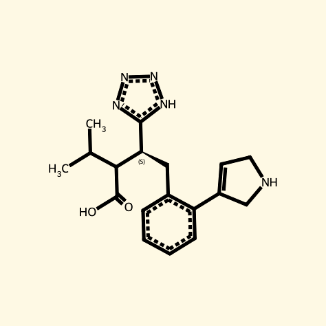 CC(C)C(C(=O)O)[C@H](Cc1ccccc1C1=CCNC1)c1nnn[nH]1